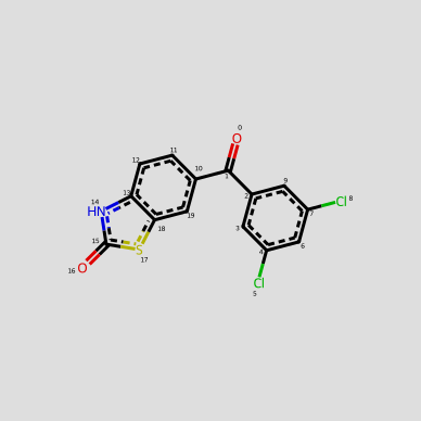 O=C(c1cc(Cl)cc(Cl)c1)c1ccc2[nH]c(=O)sc2c1